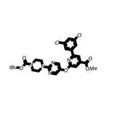 COC(=O)c1cc(Oc2cnc(N3CCN(C(=O)OC(C)(C)C)CC3)nc2)nc(-c2cc(Cl)cc(Cl)c2)c1